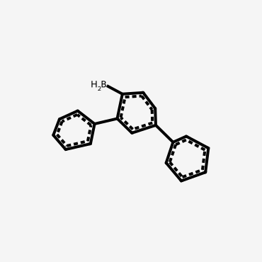 Bc1ccc(-c2ccccc2)cc1-c1ccccc1